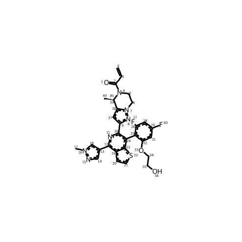 C=CC(=O)N1CCn2nc(-c3nc(-c4cnn(C)c4)c4ccsc4c3-c3c(F)cc(F)cc3OCCO)cc2[C@H]1C